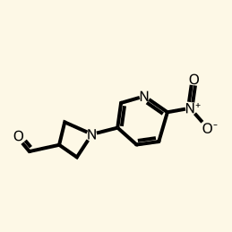 O=CC1CN(c2ccc([N+](=O)[O-])nc2)C1